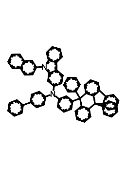 c1ccc(-c2ccc(N(c3cccc(C4(c5ccccc5)c5ccccc5C5(c6ccccc6)c6ccccc6-c6cccc4c65)c3)c3ccc4c5ccccc5n(-c5ccc6ccccc6c5)c4c3)cc2)cc1